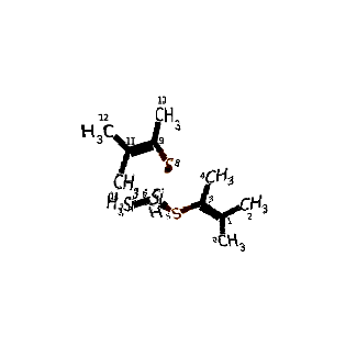 CC(C)=C(C)S[SiH]([SiH3])SC(C)=C(C)C